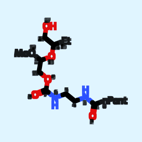 CCCCCC(=O)NCCNC(=O)OCC(OC)OC(CC)CO